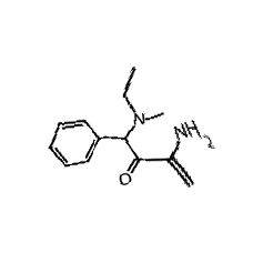 C=C(N)C(=O)C(c1ccccc1)N(C)CC